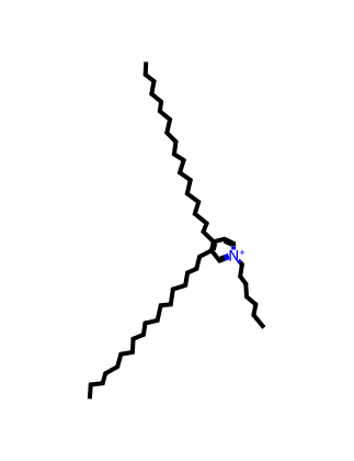 CCCCCCCCCCCCCCCCCCc1cc[n+](CCCCCCC)cc1CCCCCCCCCCCCCCCCCC